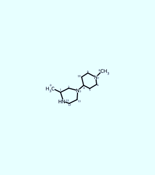 CC1CN(C2CCN(C)CC2)CCN1